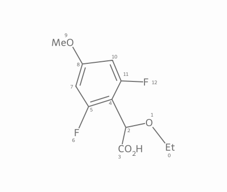 CCOC(C(=O)O)c1c(F)cc(OC)cc1F